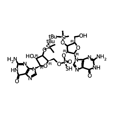 CC(C)(C)[Si](C)(C)OC1[C@@H](O)[C@H](n2cnc3c(=O)[nH]c(N)nc32)O[C@@H]1COP(=O)(S)O[C@@H]1C(O[Si](C)(C)C(C)(C)C)[C@@H](CO)O[C@H]1n1cnc2c(=O)[nH]c(N)nc21